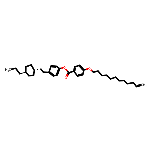 C=CCCCCCCCCCCOc1ccc(C(=O)Oc2ccc(CC[C@H]3CC[C@H](CCC)CC3)cc2)cc1